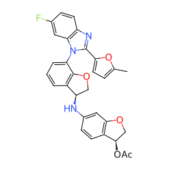 CC(=O)O[C@@H]1COc2cc(N[C@@H]3COc4c3cccc4-n3c(-c4ccc(C)o4)nc4ccc(F)cc43)ccc21